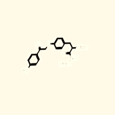 CCc1ccc(C(=O)COc2ccc(CC(SC)C(=O)NC=O)cc2)cc1